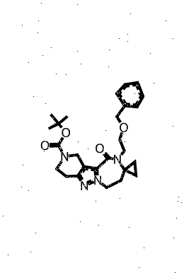 CC(C)(C)OC(=O)N1CCc2nn3c(c2C1)C(=O)N(CCOCc1ccccc1)C1(CC3)CC1